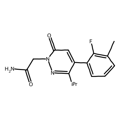 Cc1cccc(-c2cc(=O)n(CC(N)=O)nc2C(C)C)c1F